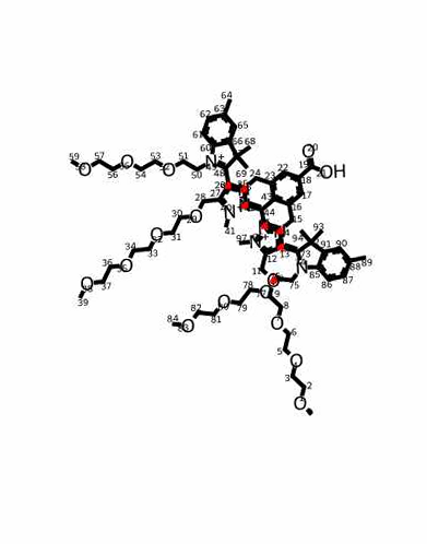 COCCOCCOCCOCc1cn(Cc2cc(C(=O)O)cc(Cn3cc(COCCOCCOCCOC)[n+](C)n3)c2C(=C\C=C\C2=[N+](CCOCCOCCOC)c3ccc(C)cc3C2(C)C)/C=C/C=C2/N(CCOCCOCCOC)c3ccc(C)cc3C2(C)C)n[n+]1C